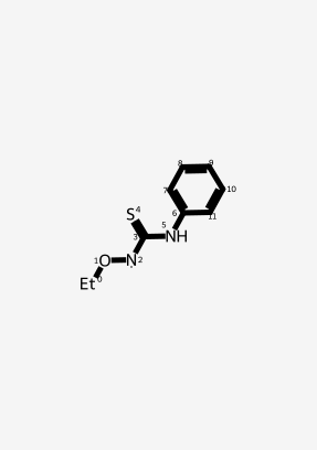 CCO[N]C(=S)Nc1ccccc1